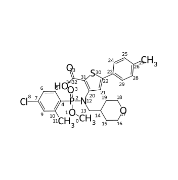 COP(=O)(c1ccc(Cl)cc1C)N(CC1CCOCC1)c1cc(-c2ccc(C)cc2)sc1C(=O)O